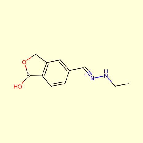 CCN/N=C/c1ccc2c(c1)COB2O